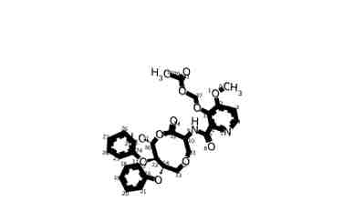 COc1ccnc(C(=O)NC2COC[C@H](Oc3ccccc3)[C@@H](Oc3ccccc3)[C@H](C)OC2=O)c1OCOC(C)=O